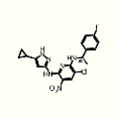 C[C@@H](Nc1nc(Nc2cc(C3CC3)[nH]n2)c([N+](=O)[O-])cc1Cl)c1ccc(F)cc1